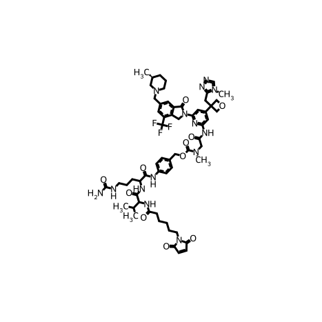 CC(C)C(NC(=O)CCCCCN1C(=O)C=CC1=O)C(=O)NC(CCCNC(N)=O)C(=O)Nc1ccc(COC(=O)N(C)CC(=O)Nc2cc(C3(Cc4nncn4C)COC3)cc(N3Cc4c(cc(CN5CCC[C@H](C)C5)cc4C(F)(F)F)C3=O)n2)cc1